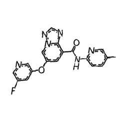 Cc1ccc(NC(=O)c2cc(Oc3cncc(F)c3)cn3ncnc23)nc1